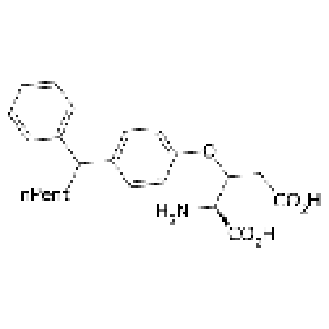 CCCCCC(c1ccccc1)c1ccc(OC(CC(=O)O)[C@H](N)C(=O)O)cc1